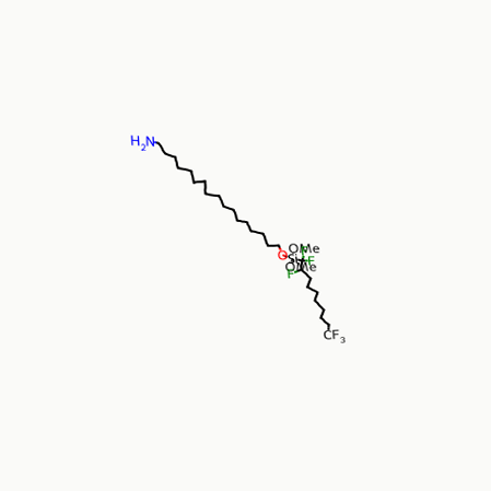 CO[Si](OC)(OCCCCCCCCCCCCCCCCCN)C(F)(F)C(F)CCCCCCCC(F)(F)F